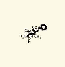 C[C@@H](O)[C@H]1C(=O)N2C(C(=O)O)=C(CSc3ccccc3)[C@H](C)[C@H]12